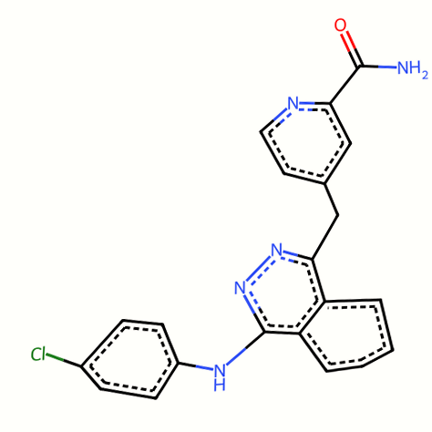 NC(=O)c1cc(Cc2nnc(Nc3ccc(Cl)cc3)c3ccccc23)ccn1